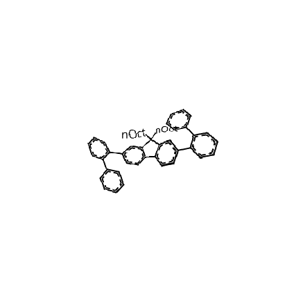 CCCCCCCCC1(CCCCCCCC)c2cc(-c3ccccc3-c3ccccc3)ccc2-c2ccc(-c3ccccc3-c3ccccc3)cc21